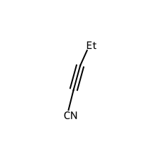 CCC#CC#N